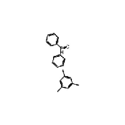 Cc1cc(C)cc(C)c1.O=[PH](c1ccccc1)c1ccccc1